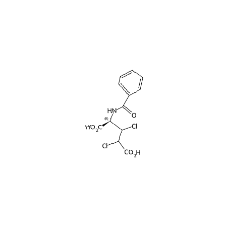 O=C(N[C@H](C(=O)O)C(Cl)C(Cl)C(=O)O)c1ccccc1